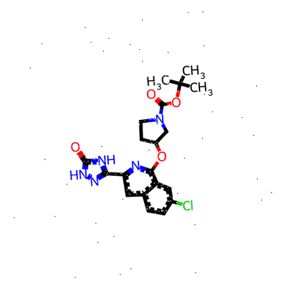 CC(C)(C)OC(=O)N1CCC(Oc2nc(-c3n[nH]c(=O)[nH]3)cc3ccc(Cl)cc23)C1